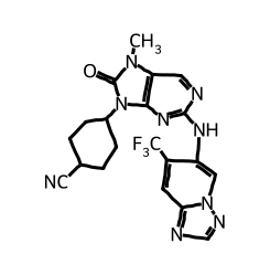 Cn1c(=O)n(C2CCC(C#N)CC2)c2nc(Nc3cn4ncnc4cc3C(F)(F)F)ncc21